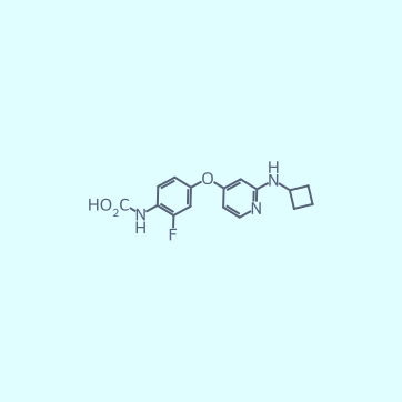 O=C(O)Nc1ccc(Oc2ccnc(NC3CCC3)c2)cc1F